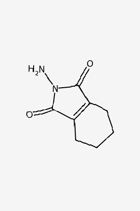 NN1C(=O)C2=C(CCCC2)C1=O